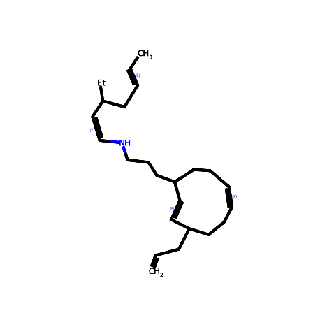 C=CCC1/C=C/C(CCCN/C=C\C(CC)C/C=C/C)CC/C=C\CC1